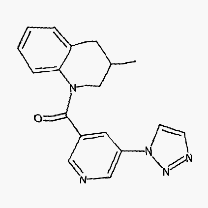 CC1Cc2ccccc2N(C(=O)c2cncc(-n3ccnn3)c2)C1